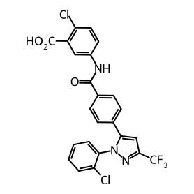 O=C(Nc1ccc(Cl)c(C(=O)O)c1)c1ccc(-c2cc(C(F)(F)F)nn2-c2ccccc2Cl)cc1